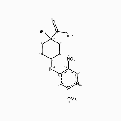 COc1cc(NC2CCC(C(N)=O)(C(C)C)CC2)c([N+](=O)[O-])cn1